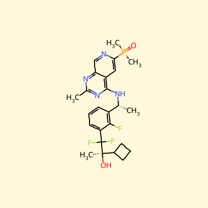 Cc1nc(N[C@H](C)c2cccc(C(F)(F)[C@](C)(O)C3CCC3)c2F)c2cc(P(C)(C)=O)ncc2n1